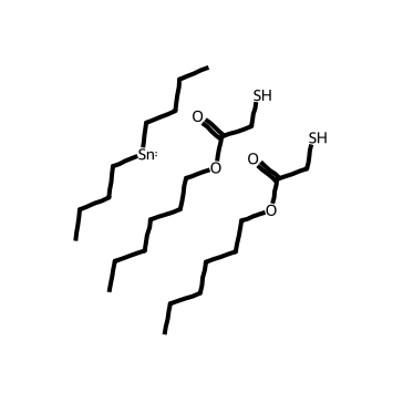 CCCCCCOC(=O)CS.CCCCCCOC(=O)CS.CCC[CH2][Sn][CH2]CCC